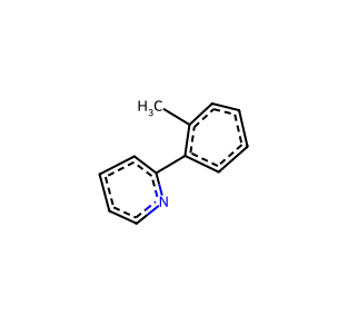 Cc1ccccc1-c1ccccn1